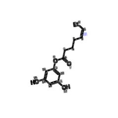 CC/C=C\CCCC(=O)Oc1cc(O)cc(O)c1